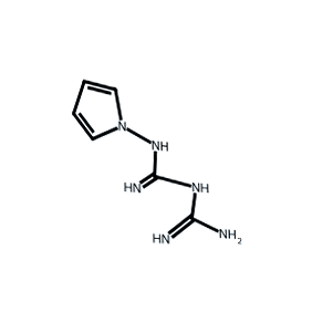 N=C(N)NC(=N)Nn1cccc1